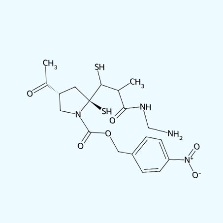 CC(=O)[C@H]1CN(C(=O)OCc2ccc([N+](=O)[O-])cc2)[C@@](S)(C(S)C(C)C(=O)NCN)C1